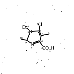 CCN1C(Cl)=C(C)C(C(=O)O)=NC1C